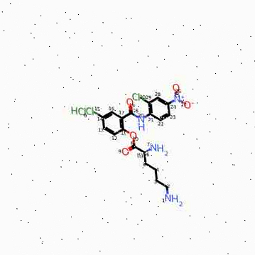 Cl.NCCCC[C@H](N)C(=O)Oc1ccc(Cl)cc1C(=O)Nc1ccc([N+](=O)[O-])cc1Cl